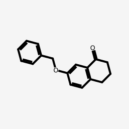 O=C1CCCc2ccc(OCc3ccccc3)cc21